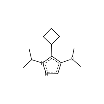 CC(C)n1ncc(N(C)C)c1C1CCC1